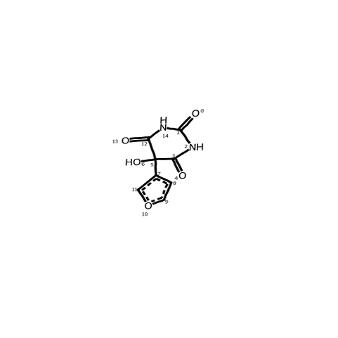 O=C1NC(=O)C(O)(c2ccoc2)C(=O)N1